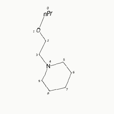 CCCOCCN1CCCCC1